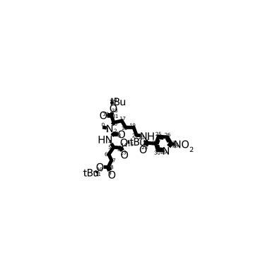 CN(C(=O)NC(CCC(=O)OC(C)(C)C)C(=O)OC(C)(C)C)C(CCCCNC(=O)c1ccc([N+](=O)[O-])nc1)C(=O)OC(C)(C)C